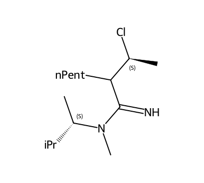 CCCCCC(C(=N)N(C)[C@@H](C)C(C)C)[C@H](C)Cl